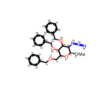 CO[C@H]1OC(COCc2ccccc2)[C@@H](OCc2ccccc2)C(OCc2ccccc2)C1N=[N+]=[N-]